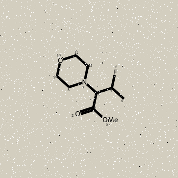 COC(=O)C(C(C)F)N1CCOCC1